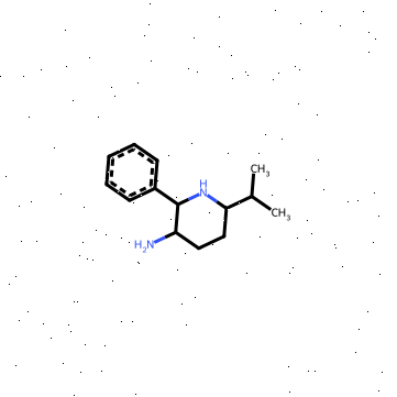 CC(C)C1CCC(N)C(c2ccccc2)N1